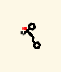 C[C@@](O)(C#CCCc1ccccc1)c1ccccc1